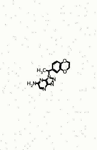 CC(c1ccc2c(c1)OCCO2)n1nnc2ncc(N)nc21